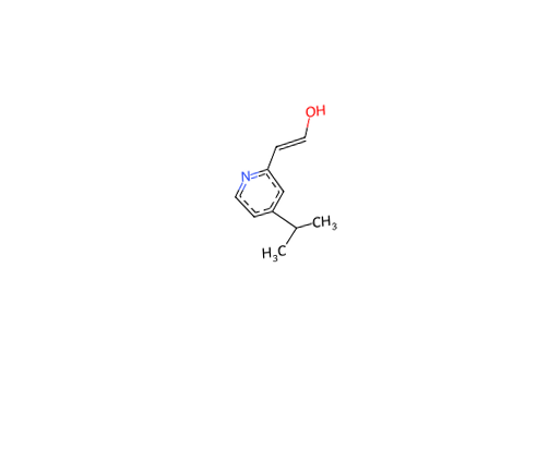 CC(C)c1ccnc(C=CO)c1